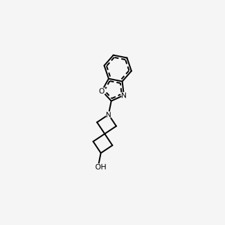 OC1CC2(C1)CN(c1nc3ccccc3o1)C2